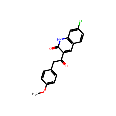 COc1ccc(CC(=O)c2cc3ccc(Cl)cc3[nH]c2=O)cc1